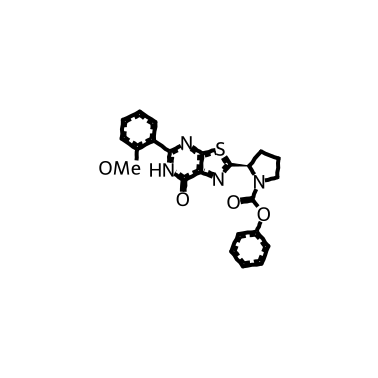 COc1ccccc1-c1nc2sc([C@H]3CCCN3C(=O)Oc3ccccc3)nc2c(=O)[nH]1